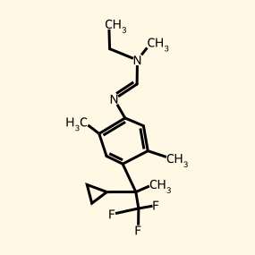 CCN(C)/C=N/c1cc(C)c(C(C)(C2CC2)C(F)(F)F)cc1C